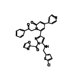 O=C(Cn1c(-c2cc(NCc3ccc(Cl)s3)n(C(=O)c3ncco3)n2)cc(-c2ccncc2)cc1=O)c1ccccc1